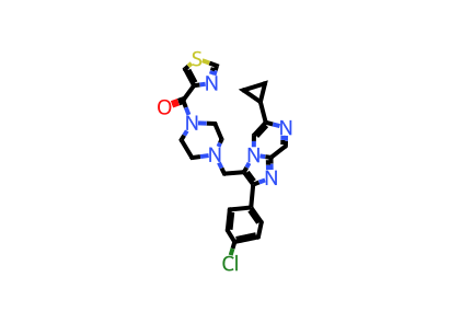 O=C(c1cscn1)N1CCN(Cc2c(-c3ccc(Cl)cc3)nc3cnc(C4CC4)cn23)CC1